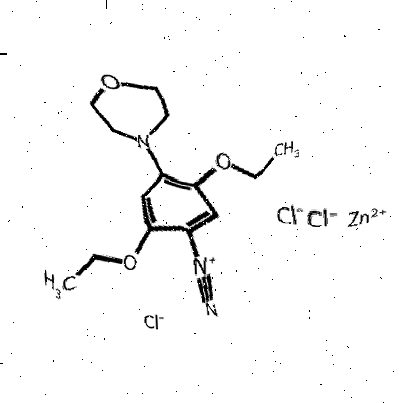 CCOc1cc(N2CCOCC2)c(OCC)cc1[N+]#N.[Cl-].[Cl-].[Cl-].[Zn+2]